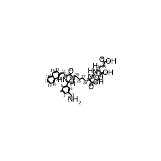 NCc1cccc(C(=O)N[C@@H](Cc2ccc3ccccc3c2)C(=O)NCCCC[C@H](NC(=O)N[C@@H](CCC(=O)O)C(=O)O)C(=O)O)c1